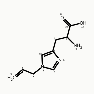 C=CCn1cnc(CC(N)C(=O)O)c1